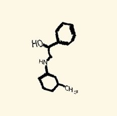 CC1CCCC(NCC(O)c2ccccc2)C1